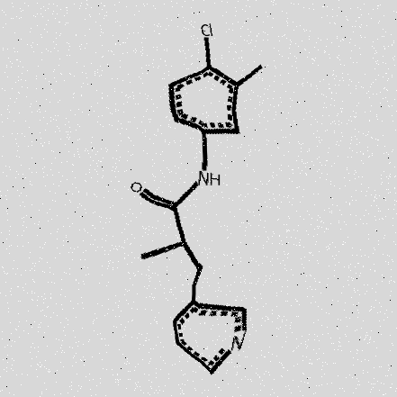 Cc1cc(NC(=O)C(C)Cc2cccnc2)ccc1Cl